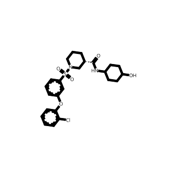 O=C(NC1CCC(O)CC1)[C@H]1CCCN(S(=O)(=O)c2cccc(Oc3ccccc3Cl)c2)C1